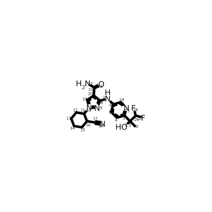 CC(O)(c1ccc(Nc2nn(C3CCCCC3C#N)cc2C(N)=O)cn1)C(F)F